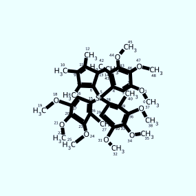 COc1cc([Si](C2=C(C)C(C)=C(C)C2C)(c2cc(OC)c(OC)c(OC)c2C)c2cc(OC)c(OC)c(OC)c2C)c(C)c(OC)c1OC